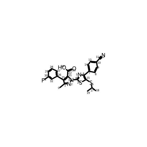 Cc1nn(-c2nc(-c3ccc(C#N)cc3)c(SC(C)C)s2)c(C(=O)O)c1-c1cccc(F)c1